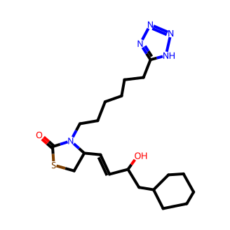 O=C1SCC(C=CC(O)CC2CCCCC2)N1CCCCCCc1nnn[nH]1